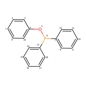 [c]1cccc(OP(c2ccccc2)c2ccccc2)c1